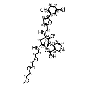 COCCOCCOCCNC(=O)CC(NCc1ccc(-c2cc(Cl)ccc2Cl)o1)C(=O)Nc1ccncc1C(=O)O